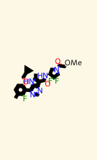 COCC(=O)N1C[C@@H](NC(=O)c2c(C)[nH]c3c(-c4c(OCC5CC5)ccc(C)c4F)ncnc23)C(F)(F)C1